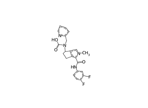 Cn1cc2c(c1C(=O)Nc1ccc(F)c(F)c1)CCC2N(Cc1ccccn1)C(=O)O